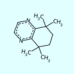 CC1(C)CCC(C)(C)c2nccnc21